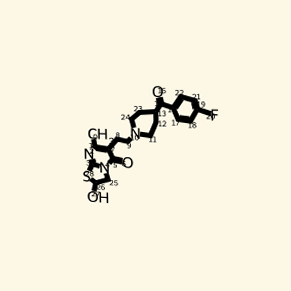 Cc1nc2n(c(=O)c1CCN1CCC(C(=O)c3ccc(F)cc3)CC1)CC(O)S2